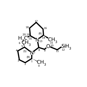 C[C@@H]1CCC[C@H](C)N1C(COC[SiH3])N1[C@H](C)CCC[C@@H]1C